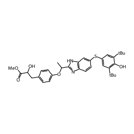 COC(=O)C(O)Cc1ccc(OC(C)c2nc3ccc(Sc4cc(C(C)(C)C)c(O)c(C(C)(C)C)c4)cc3[nH]2)cc1